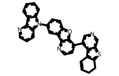 C1=Cc2c(sc3cncc(-c4ccnc5c4oc4ccc(-n6c7ccccc7c7ncccc76)cc45)c23)CC1